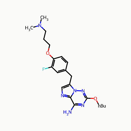 CCCCOc1nc(N)c2ncc(Cc3ccc(OCCCN(C)C)c(F)c3)n2n1